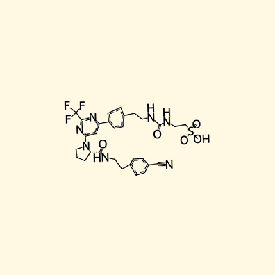 N#Cc1ccc(CCNC(=O)[C@@H]2CCCN2c2cc(-c3ccc(CCNC(=O)NCCS(=O)(=O)O)cc3)nc(C(F)(F)F)n2)cc1